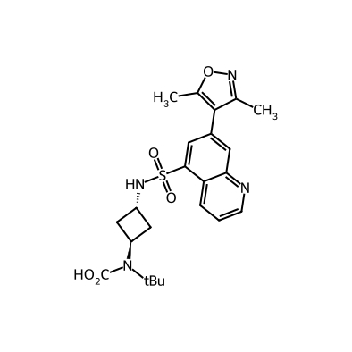 Cc1noc(C)c1-c1cc(S(=O)(=O)N[C@H]2C[C@H](N(C(=O)O)C(C)(C)C)C2)c2cccnc2c1